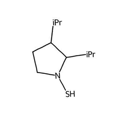 CC(C)C1CCN(S)C1C(C)C